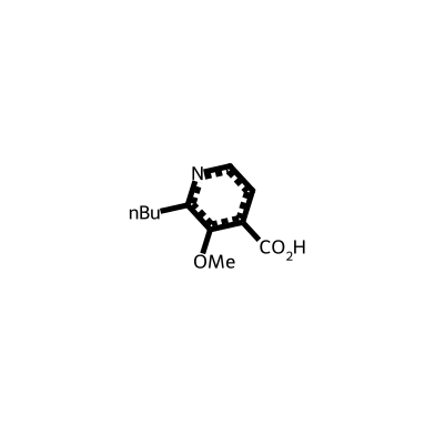 CCCCc1nccc(C(=O)O)c1OC